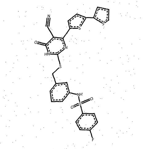 N#Cc1c(-c2ccc(-c3cccs3)s2)nc(SCc2cccc(NS(=O)(=O)c3ccc(F)cc3)c2)[nH]c1=O